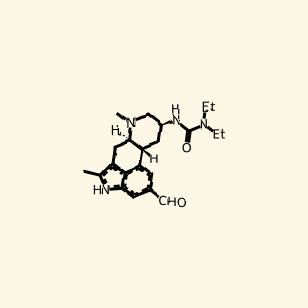 CCN(CC)C(=O)N[C@H]1C[C@@H]2c3cc(C=O)cc4[nH]c(C)c(c34)C[C@H]2N(C)C1